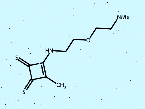 CNCCOCCNc1c(C)c(=S)c1=S